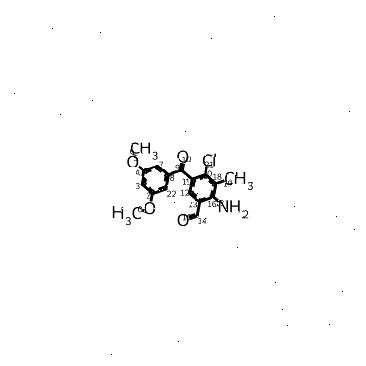 COc1cc(OC)cc(C(=O)c2cc(C=O)c(N)c(C)c2Cl)c1